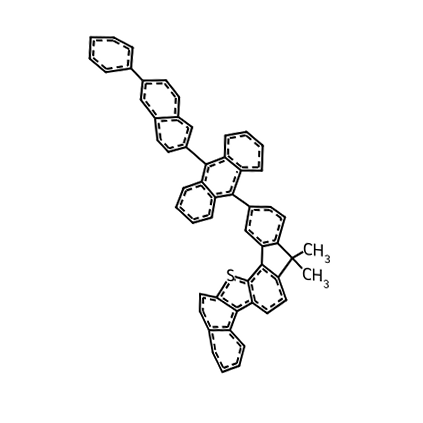 CC1(C)c2ccc(-c3c4ccccc4c(-c4ccc5cc(-c6ccccc6)ccc5c4)c4ccccc34)cc2-c2c1ccc1c2sc2ccc3ccccc3c21